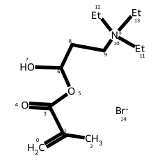 C=C(C)C(=O)OC(O)CC[N+](CC)(CC)CC.[Br-]